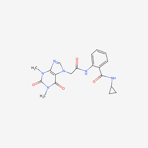 Cn1c(=O)c2c(ncn2CC(=O)Nc2ccccc2C(=O)NC2CC2)n(C)c1=O